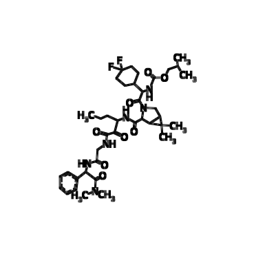 CCCC(NC(=O)C1C2C(CN1C(=O)C(NC(=O)OCC(C)C)C1CCC(F)(F)CC1)C2(C)C)C(=O)C(=O)NCC(=O)NC(C(=O)N(C)C)c1ccccc1